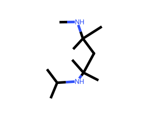 CNC(C)(C)CC(C)(C)NC(C)C